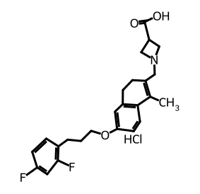 CC1=C(CN2CC(C(=O)O)C2)CCc2cc(OCCCc3ccc(F)cc3F)ccc21.Cl